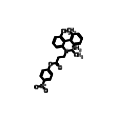 CCN(CCC(=O)Oc1ccc([N+](=O)[O-])cc1)c1cccc(C)c1-c1c(C)cccc1N